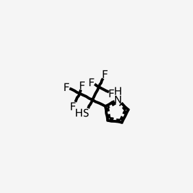 FC(F)(F)C(S)(c1ccc[nH]1)C(F)(F)F